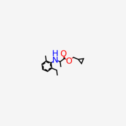 CCc1cccc(C)c1NC(C)C(=O)OCC1CC1